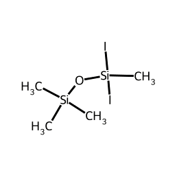 C[Si](C)(C)O[Si](C)(I)I